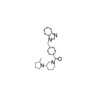 CC1CCCN1C1CCCN(C(=O)c2ccc(Cn3cnc4ccccc43)cc2)C1